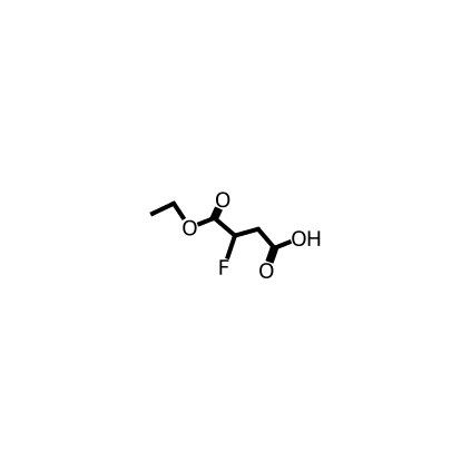 CCOC(=O)C(F)CC(=O)O